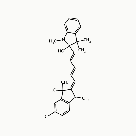 CN1/C(=C/C=C/C=C/C2(O)N(C)c3ccccc3C2(C)C)C(C)(C)c2cc(Cl)ccc21